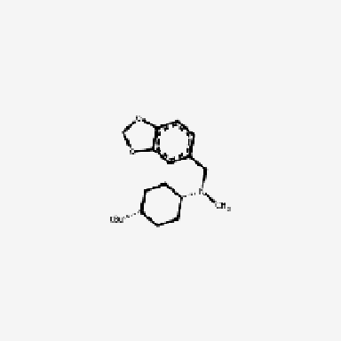 CN(Cc1ccc2c(c1)OCO2)[C@H]1CC[C@@H](C(C)(C)C)CC1